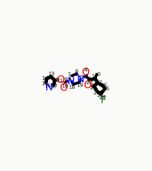 Cc1c(C(=O)N2CCN(C(=O)Oc3cccnc3)CC2)oc2cc(F)ccc12